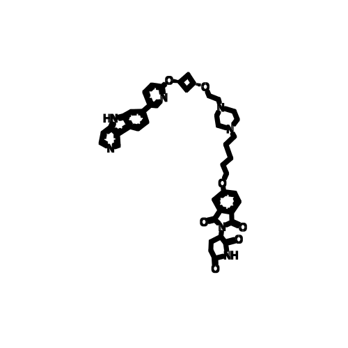 O=C1CCC(N2C(=O)c3ccc(OCCCCCN4CCN(CCO[C@H]5C[C@H](Oc6ccc(-c7ccc8c(c7)[nH]c7ccncc78)cn6)C5)CC4)cc3C2=O)C(=O)N1